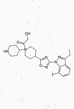 CCc1nn(-c2noc(C3CC[N+](C(=O)CO)(C4CCNCC4)CC3)n2)c2c(F)cccc12